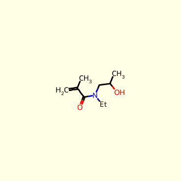 C=C(C)C(=O)N(CC)CC(C)O